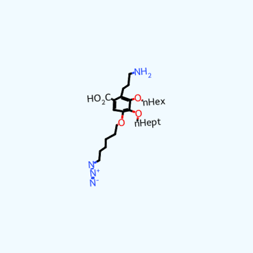 CCCCCCCOc1c(OCCCCCCN=[N+]=[N-])cc(C(=O)O)c(CCCN)c1OCCCCCC